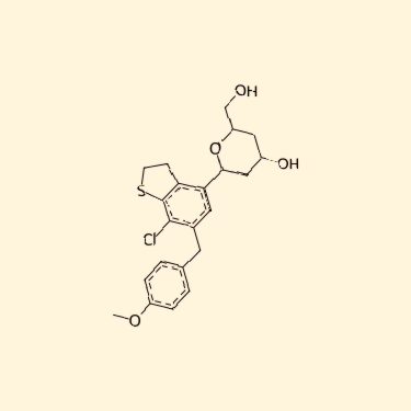 COc1ccc(Cc2cc(C3CC(O)CC(CO)O3)c3c(c2Cl)SCC3)cc1